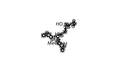 COc1cc2c(cc1OCc1cc(COc3cc4c(cc3OC)CN3c5ccccc5C[C@H]3CN4)cc(NC(=O)CCC(C)(C)SSCCC(C(=O)NCCN3C(=O)C=CC3=O)S(=O)(=O)O)c1)N=C[C@@H]1Cc3ccccc3N1C2